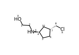 OCCN[C@@H]1CC[C@@H](CCl)C1